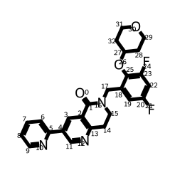 O=C1c2cc(-c3ccccn3)cnc2CCN1Cc1cc(F)cc(F)c1OC1CCOCC1